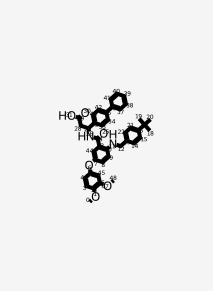 COc1ccc(Oc2ccc(NCc3ccc(C(C)(C)C)cc3)c(C(=O)NC(CC(=O)O)c3ccc(-c4ccccc4)cc3)c2)cc1OC